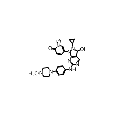 CC(C)n1cc(N2c3nc(Nc4ccc(N5CCN(C)CC5)cc4)ncc3C(O)N2C2CC2)ccc1=O